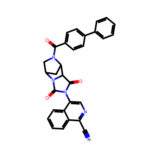 N#Cc1ncc(N2C(=O)C3C4CC(CN4C(=O)c4ccc(-c5ccccc5)cc4)N3C2=O)c2ccccc12